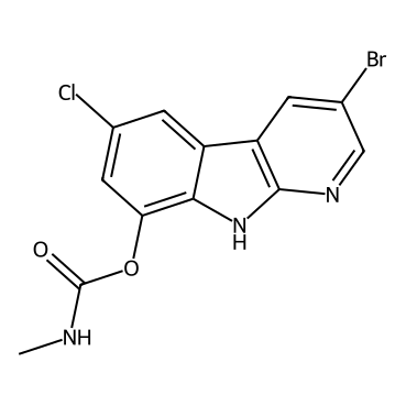 CNC(=O)Oc1cc(Cl)cc2c1[nH]c1ncc(Br)cc12